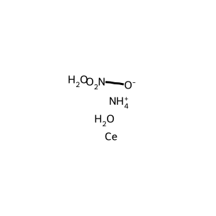 O.O.O=[N+]([O-])[O-].[Ce].[NH4+]